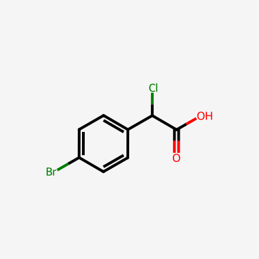 O=C(O)C(Cl)c1ccc(Br)cc1